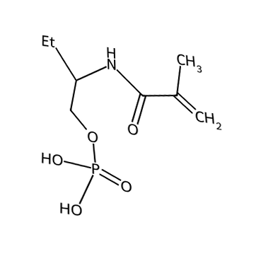 C=C(C)C(=O)NC(CC)COP(=O)(O)O